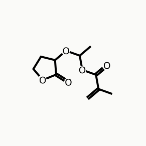 C=C(C)C(=O)OC(C)OC1CCOC1=O